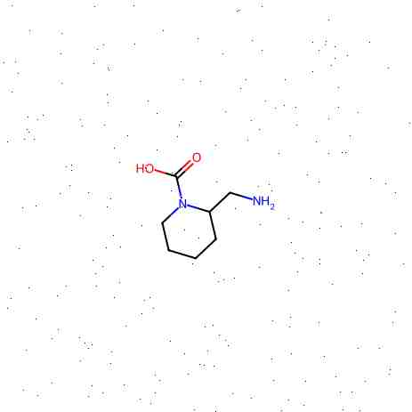 NCC1CCCCN1C(=O)O